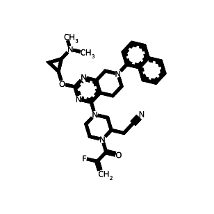 C=C(F)C(=O)N1CCN(c2nc(OC3CC3N(C)C)nc3c2CCN(c2cccc4ccccc24)C3)CC1CC#N